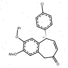 COc1cc2c(cc1OC(C)C)[C@H](c1ccc(Cl)cc1)C=CC(=O)C2